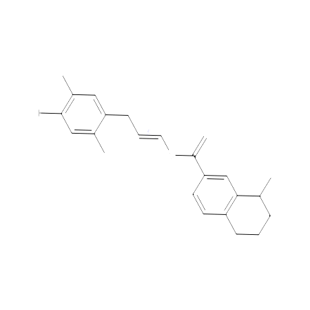 C=C(S/C=C/Cc1cc(C)c(I)cc1C)c1ccc2c(c1)C(C)CCC2